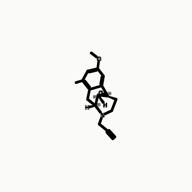 C#CCN1CC[C@]23CCCO[C@H]2[C@H]1Cc1c(C)cc(OC)cc13